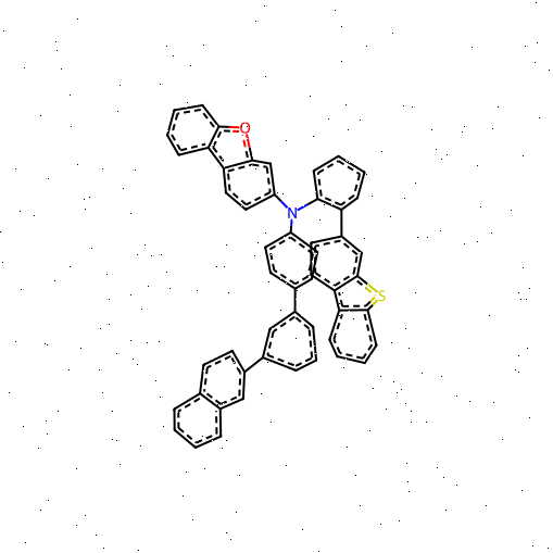 c1cc(-c2ccc(N(c3ccc4c(c3)oc3ccccc34)c3ccccc3-c3ccc4c(c3)sc3ccccc34)cc2)cc(-c2ccc3ccccc3c2)c1